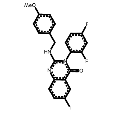 COc1ccc(CNc2nc3ccc(I)cc3c(=O)n2-c2ccc(F)cc2F)cc1